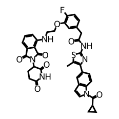 Cc1sc(NC(=O)Cc2ccc(F)c(OCCNc3cccc4c3C(=O)N(C3CCC(=O)NC3=O)C4=O)c2)nc1-c1ccc2c(ccn2C(=O)C2CC2)c1